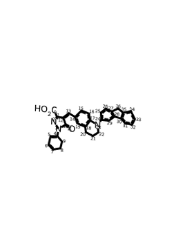 O=C(O)C1=NN(C2=CC=CCC2)C(=O)/C1=C\c1ccc2c(c1)CCCN2c1ccc2c(c1)-c1ccccc1C2